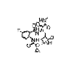 CNC(=O)C(=O)[C@H](C[C@@H]1C[C@@H](C)NC1=O)NC(=O)c1cc(F)ccc1NC(=O)OC1CC1